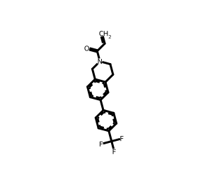 C=CC(=O)N1CCc2cc(-c3ccc(C(F)(F)F)cc3)ccc2C1